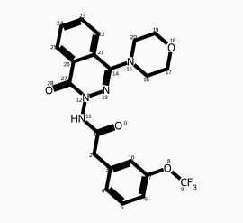 O=C(Cc1cccc(OC(F)(F)F)c1)Nn1nc(N2CCOCC2)c2ccccc2c1=O